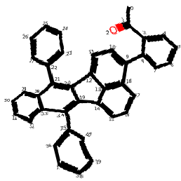 CC(=O)c1ccccc1-c1ccc2c3c(cccc13)-c1c-2c(-c2ccccc2)c2ccccc2c1-c1ccccc1